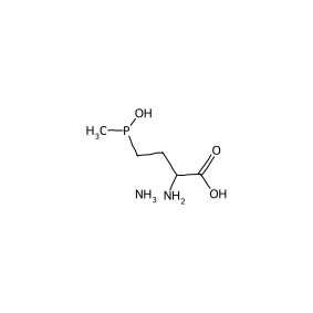 CP(O)CCC(N)C(=O)O.N